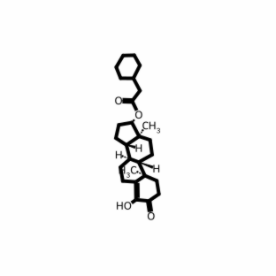 C[C@]12CC[C@H]3[C@@H](CCC4=C(O)C(=O)CC[C@@]43C)[C@@H]1CC[C@@H]2OC(=O)CC1CCCCC1